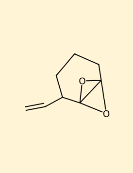 C=CC1CCCC23OC12O3